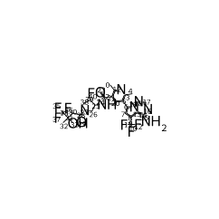 Cc1nc(C)c(-c2cc(C(F)(F)F)c3c(N)ncnn23)cc1C(=O)N[C@@H]1CN(C(=O)CC(C)(O)C(F)(F)F)C[C@@H]1F